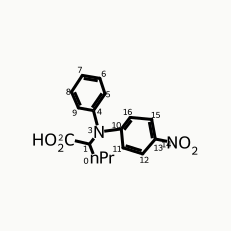 CCCC(C(=O)O)N(c1ccccc1)c1ccc([N+](=O)[O-])cc1